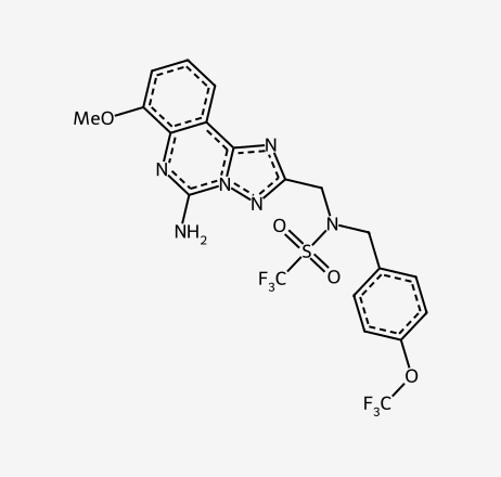 COc1cccc2c1nc(N)n1nc(CN(Cc3ccc(OC(F)(F)F)cc3)S(=O)(=O)C(F)(F)F)nc21